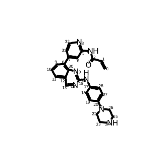 C=CC(=O)Nc1cc(-c2cccc3cnc(Nc4ccc(N5CCNCC5)cc4)nc23)ccn1